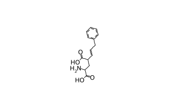 NC(CC(C=CCc1ccccc1)C(=O)O)C(=O)O